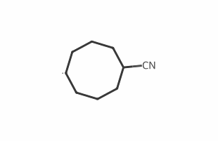 N#CC1CCC[CH]CCC1